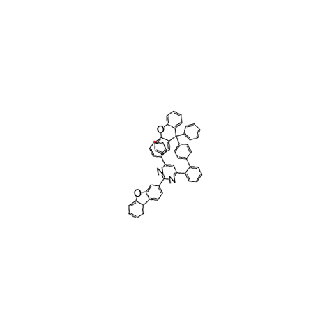 c1ccc(-c2cc(-c3ccccc3-c3ccc(C4(c5ccccc5)c5ccccc5Oc5ccccc54)cc3)nc(-c3ccc4c(c3)oc3ccccc34)n2)cc1